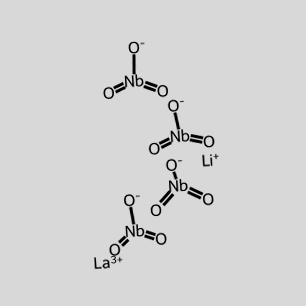 [La+3].[Li+].[O]=[Nb](=[O])[O-].[O]=[Nb](=[O])[O-].[O]=[Nb](=[O])[O-].[O]=[Nb](=[O])[O-]